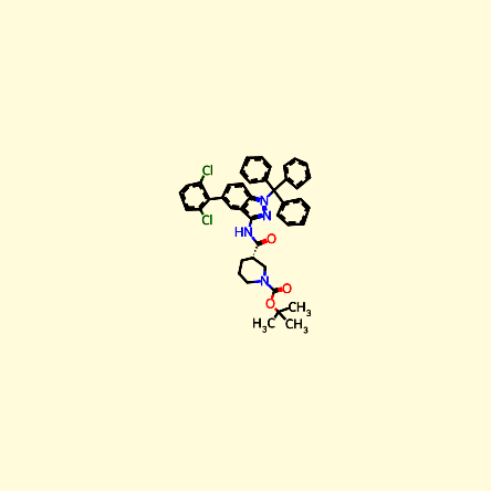 CC(C)(C)OC(=O)N1CCC[C@H](C(=O)Nc2nn(C(c3ccccc3)(c3ccccc3)c3ccccc3)c3ccc(-c4c(Cl)cccc4Cl)cc23)C1